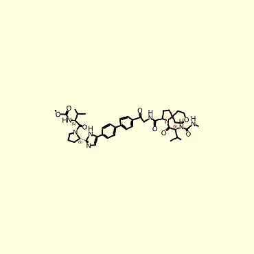 CNC(=O)N[C@H](C(=O)N1C(C(=O)NCC(=O)c2ccc(-c3ccc(-c4cnc([C@@H]5CCCN5C(=O)[C@@H](NC(=O)OC)C(C)C)[nH]4)cc3)cc2)CCC12CCOCC2)C(C)C